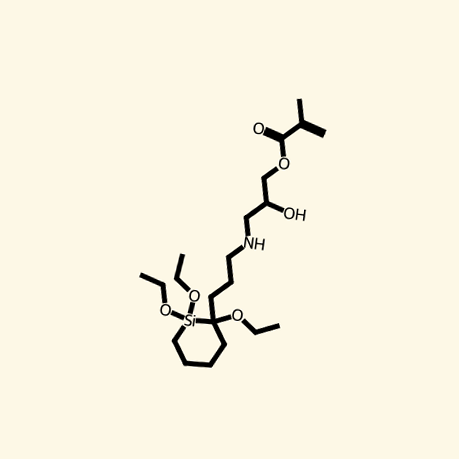 C=C(C)C(=O)OCC(O)CNCCCC1(OCC)CCCC[Si]1(OCC)OCC